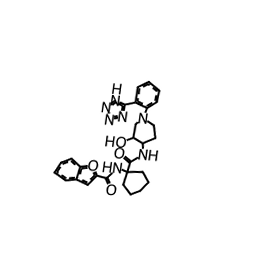 O=C(NC1(C(=O)NC2CCN(c3ccccc3-c3nnn[nH]3)CC2O)CCCCC1)c1cc2ccccc2o1